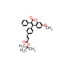 COc1ccc2c(-c3ccc(/C=C/C(=O)OC(C)(C)C)cc3)c(-c3ccccc3)c(=O)oc2c1